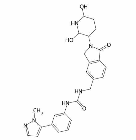 Cn1nccc1-c1cccc(NC(=O)NCc2ccc3c(c2)CN(C2CCC(O)NC2O)C3=O)c1